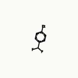 [CH2]Cc1ccc(C(F)F)cc1